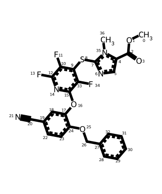 COC(=O)c1cnc(Sc2c(F)c(F)nc(Oc3cc(C#N)ccc3OCc3ccccc3)c2F)n1C